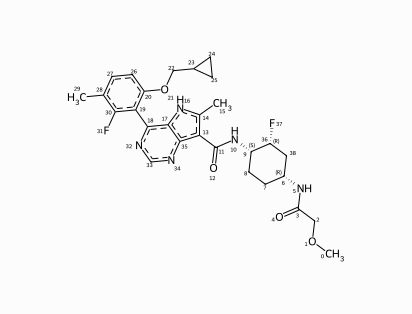 COCC(=O)N[C@@H]1CC[C@H](NC(=O)c2c(C)[nH]c3c(-c4c(OCC5CC5)ccc(C)c4F)ncnc23)[C@H](F)C1